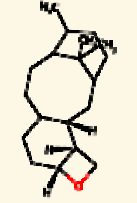 CC1CCC2C[C@H]3C(CCC1C2(C)C)CC[C@H]1OC[C@H]13